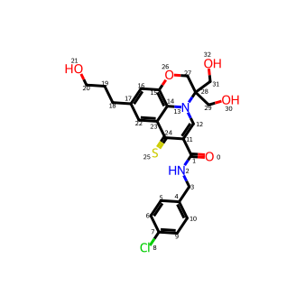 O=C(NCc1ccc(Cl)cc1)c1cn2c3c(cc(CCCO)cc3c1=S)OCC2(CO)CO